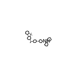 C=C(c1ccc(-c2ccc(Nc3ccccc3-c3ccccc3)cc2)cc1)c1ccc2c(c1)C(C)(C)c1ccccc1-2